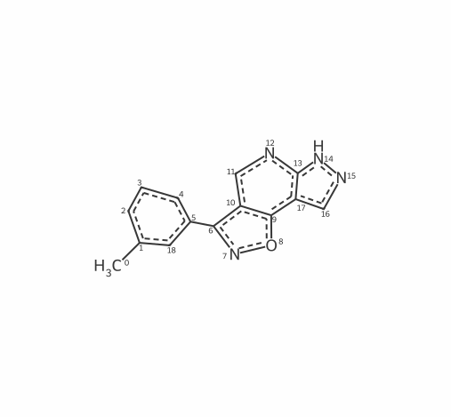 Cc1cccc(-c2noc3c2cnc2[nH]ncc23)c1